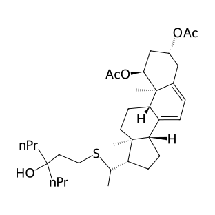 CCCC(O)(CCC)CCSC(C)[C@H]1CC[C@H]2C3=CC=C4C[C@@H](OC(C)=O)C[C@H](OC(C)=O)[C@]4(C)[C@H]3CC[C@]12C